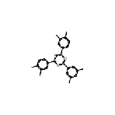 Cc1cc(C)cc(-c2nc(-c3ccc(C)c(C)c3)nc(-c3ccc(C)c(C)c3)n2)c1